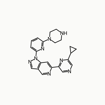 c1cc(N2CCNCC2)nc(-n2ncc3cnc(-c4cncc(C5CC5)n4)cc32)c1